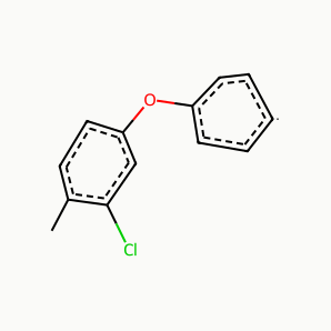 Cc1ccc(Oc2cc[c]cc2)cc1Cl